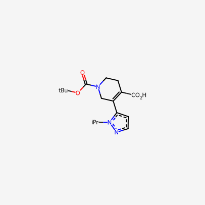 CC(C)n1nccc1C1=C(C(=O)O)CCN(C(=O)OC(C)(C)C)C1